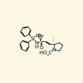 CC(C)(C)[Si](NS(=O)(=O)/C=C/[C@@]1(C)CCCN1C(=O)O)(c1ccccc1)c1ccccc1